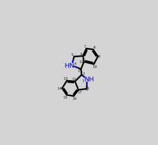 [C]1NC(C2NCc3ccccc32)c2ccccc21